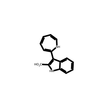 O=C(O)c1[nH]c2ccccc2c1C1=CC=CC=CN1